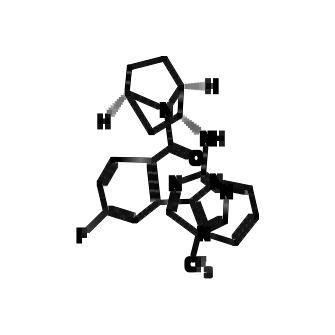 O=C(c1ccc(F)cc1-c1ncccn1)N1[C@@H]2CC[C@H]1[C@H](Nc1ncc(C(F)(F)F)cn1)C2